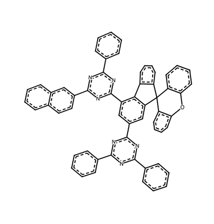 c1ccc(-c2nc(-c3ccccc3)nc(-c3cc(-c4nc(-c5ccccc5)nc(-c5ccc6ccccc6c5)n4)c4c(c3)C3(c5ccccc5Oc5ccccc53)c3ccccc3-4)n2)cc1